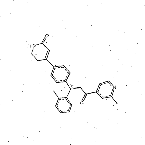 Cc1cc(C(=O)C[C@H](c2ccc(C3=CC(=O)NCC3)cc2)c2ccccc2C)ccn1